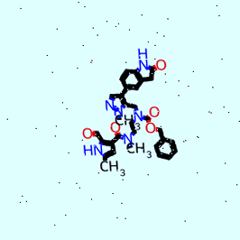 Cc1cc(C(=O)N(C)CCN(Cc2c(-c3ccc4c(c3)CC(=O)N4)cnn2C)C(=O)OCc2ccccc2)c(C=O)[nH]1